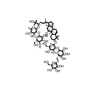 C[C@H](CC[C@@H](O[C@@H]1O[C@H](C)[C@@H](O)[C@H](O)[C@H]1O[C@H]1O[C@@H](CO)[C@H](O)[C@@H](O)[C@@H]1O)C(C)(C)O)C1CC[C@@]2(C)C3CC=C4C(CC[C@H](O[C@@H]5O[C@H](CO)[C@@H](O)[C@H](O)[C@H]5OC5O[C@@H](CO[C@@H]6O[C@H](CO)[C@@H](O)[C@H](O)[C@H]6O)[C@H](O)[C@@H](O)[C@@H]5O)C4(C)C)[C@]3(C)[C@H](O)C[C@]12C